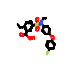 CCc1ccc(S(=O)(=O)N(CC)c2ccc(Oc3ccc(F)cc3)cc2)cc1C(=O)O